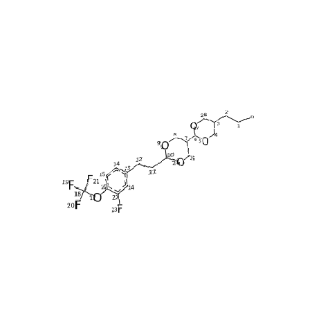 CCCC1COC(C2COC(CCc3ccc(OC(F)(F)F)c(F)c3)OC2)OC1